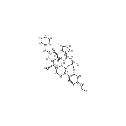 CCOc1ccc(N2CCN(C(=O)[C@H](CSCC3CCCCC3)NC(=O)[C@@H]3CSCN3C(=O)OC(C)(C)C)CC2)cc1